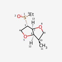 CC[S+]([O-])[C@H]1CO[C@H]2[C@@H]1OC[C@H]2C